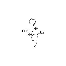 C=CC1CCC(CNc2ccccc2)C(C(C)(C)C)C1.NC=O